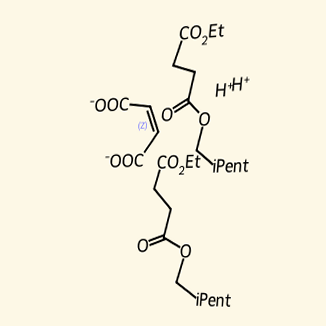 CCCC(C)COC(=O)CCC(=O)OCC.CCCC(C)COC(=O)CCC(=O)OCC.O=C([O-])/C=C\C(=O)[O-].[H+].[H+]